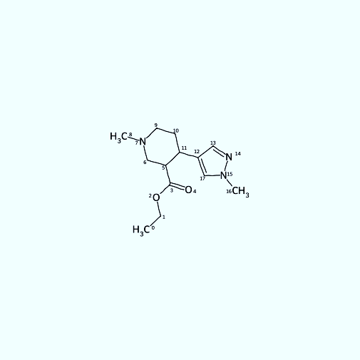 CCOC(=O)C1CN(C)CCC1c1cnn(C)c1